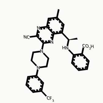 Cc1cc([C@@H](C)Nc2ccccc2C(=O)O)c2nc(N3CCN(c4cccc(C(F)(F)F)c4)CC3)c(C#N)nc2c1